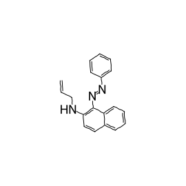 C=CCNc1ccc2ccccc2c1N=Nc1ccccc1